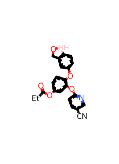 CCC(=O)Oc1ccc(Oc2ccc3c(c2)COB3)c(Oc2ccc(C#N)cn2)c1